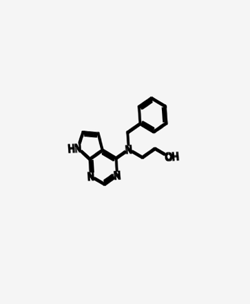 OCCN(Cc1ccccc1)c1ncnc2[nH]ccc12